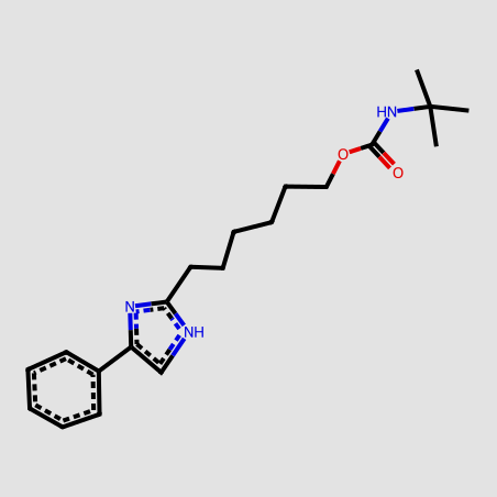 CC(C)(C)NC(=O)OCCCCCCc1nc(-c2ccccc2)c[nH]1